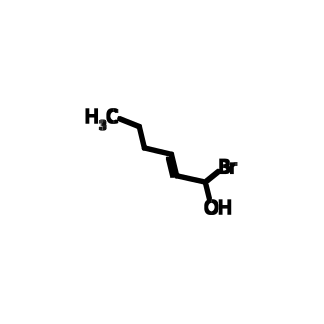 CCCC=CC(O)Br